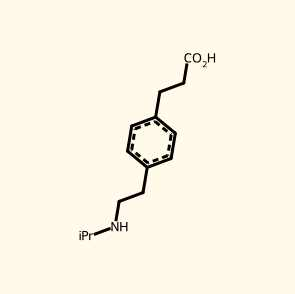 CC(C)NCCc1ccc(CCC(=O)O)cc1